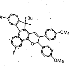 CCCCC1(C)c2ccc(Br)cc2-c2c1c1c(c3cc(F)ccc23)OC(c2ccc(OC)cc2)C(c2ccc(OC)cc2)=C1